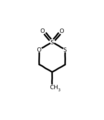 CC1COS(=O)(=O)SC1